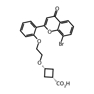 O=c1cc(-c2ccccc2OCCO[C@H]2C[C@@H](C(=O)O)C2)oc2c(Br)cccc12